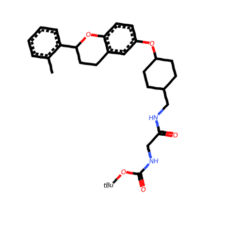 Cc1ccccc1C1CCc2cc(OC3CCC(CNC(=O)CNC(=O)OC(C)(C)C)CC3)ccc2O1